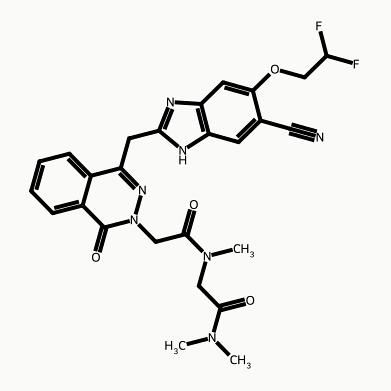 CN(C)C(=O)CN(C)C(=O)Cn1nc(Cc2nc3cc(OCC(F)F)c(C#N)cc3[nH]2)c2ccccc2c1=O